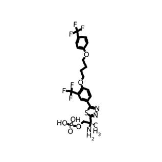 C[C@](N)(COP(=O)(O)O)c1nnc(-c2ccc(OCCCCOc3ccc(C(F)(F)F)cc3)c(C(F)(F)F)c2)s1